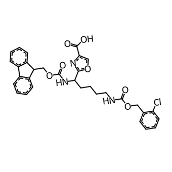 O=C(NCCCCC(NC(=O)OCC1c2ccccc2-c2ccccc21)c1nc(C(=O)O)co1)OCc1ccccc1Cl